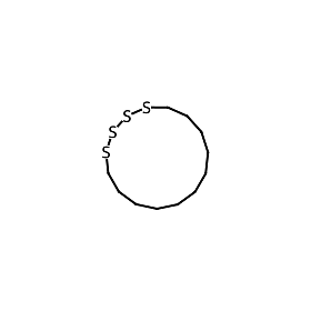 C1CCCCCSSSSCCCCC1